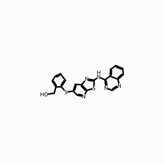 OCc1ccccc1Sc1cnc2sc(Nc3ncnc4ccccc34)nc2c1